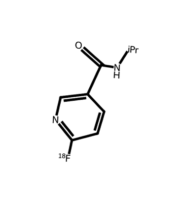 CC(C)NC(=O)c1ccc([18F])nc1